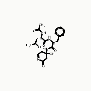 CC(=O)N[C@@H](CC(C)C)C(=O)N[C@@H](Cc1ccccc1)C(=O)NC1(O)CC=NC(=O)C1